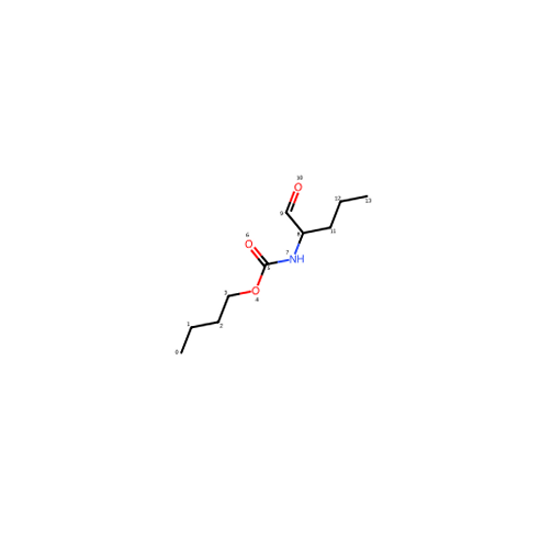 CCCCOC(=O)NC(C=O)CCC